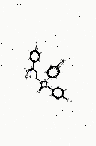 O=C1[C@@H](CC/C(=N\O)c2ccc(F)cc2)[C@H](c2ccc(O)cc2)N1c1ccc(F)cc1